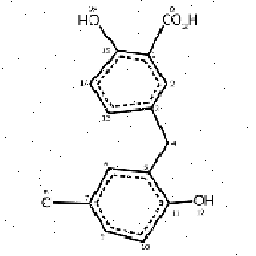 O=C(O)c1cc(Cc2cc(Cl)ccc2O)ccc1O